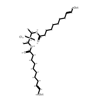 CCCCCCCCC=CCCCCCCCC(=O)OC(C)[N+](C)(C)C(C)OC(=O)CCCCCCCC=CCCCCCCCC.[Cl-]